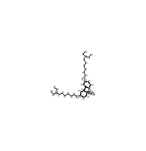 CCN(CC)CCCCCCOc1ccc2oc3ccc(OCCCCCCN(CC)CC)cc3c2c1.Cl.Cl